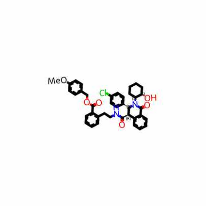 COc1ccc(COC(=O)c2ccccc2CCNC(=O)[C@@H]2c3ccccc3C(=O)N([C@H]3CCCC[C@@H]3O)[C@H]2c2ccc(Cl)cc2)cc1